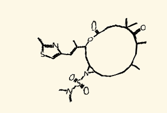 CC(=Cc1csc(C)n1)C1CC2C(CCCC(C)CC(C)C(=O)C(C)(C)CCC(=O)O1)N2S(=O)(=O)N(C)C